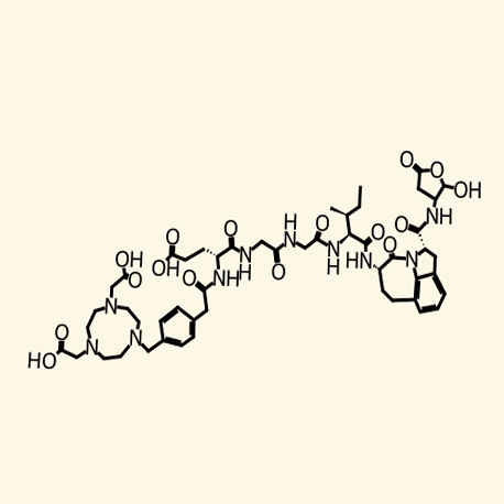 CC[C@H](C)[C@H](NC(=O)CNC(=O)CNC(=O)[C@@H](CCC(=O)O)NC(=O)Cc1ccc(CN2CCN(CC(=O)O)CCN(CC(=O)O)CC2)cc1)C(=O)N[C@H]1CCc2cccc3c2N(C1=O)[C@H](C(=O)NC1CC(=O)OC1O)C3